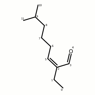 CCC(C=O)=CCCCC(C)C